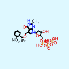 Cc1nc2c(c(CO[C@@H](c3ccccc3[N+](=O)[O-])C(C)C)cn2[C@H]2C[C@@H](O)[C@@H](COP(=O)(O)OP(=O)(O)OP(=O)(O)O)O2)c(=O)[nH]1